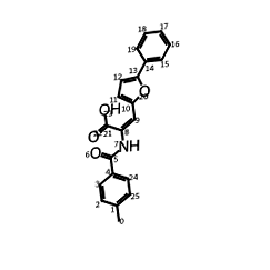 Cc1ccc(C(=O)NC(=Cc2ccc(-c3ccccc3)o2)C(=O)O)cc1